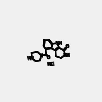 Cl.O=C1NCCc2c1[nH]c1cccc(C(=O)N3CCNCC3)c21